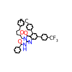 O=C(Nc1nc2cc(-c3ccc(C(F)(F)F)cc3)cc(-c3ccc(C(F)(F)F)cc3)c2c(=O)n1CC1CCC(c2ccccc2)O1)c1ccccc1